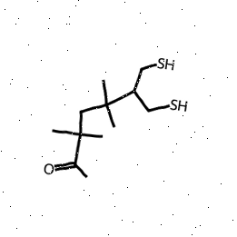 CC(=O)C(C)(C)CC(C)(C)C(CS)CS